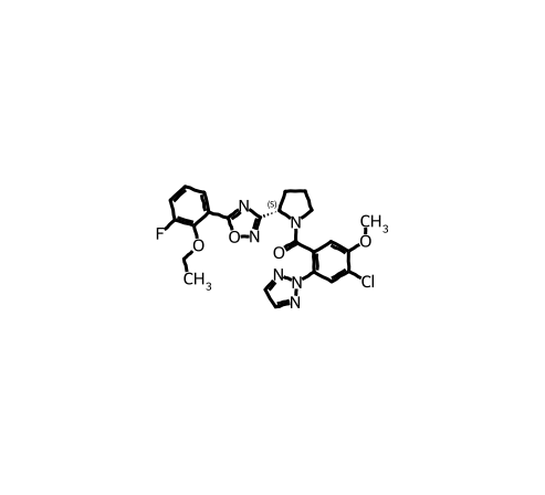 CCOc1c(F)cccc1-c1nc([C@@H]2CCCN2C(=O)c2cc(OC)c(Cl)cc2-n2nccn2)no1